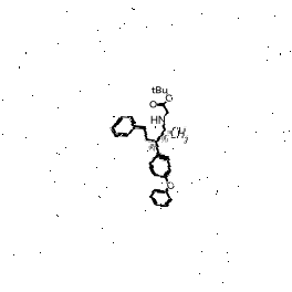 C[C@@H](NCC(=O)OC(C)(C)C)[C@H](CCc1ccccc1)c1ccc(Oc2ccccc2)cc1